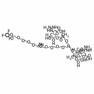 CC(=O)N[C@@H]1[C@@H](NC(=N)N)C=C(C(=O)O)O[C@H]1C(OC(=O)N(C)CCOCCN(CCOCCOCCOCCOCc1cn(CCOCCOCCOCCOCCC(=O)Oc2c(F)cc(F)cc2F)nn1)CCOCCN(C)C(=O)CO[C@@H]([C@@H]1OC(C(=O)O)=C[C@H](NC(=N)N)[C@H]1C)[C@H](O)CO)[C@H](O)CO